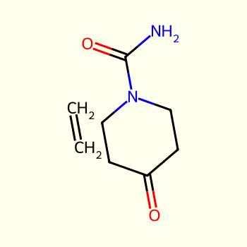 C=C.NC(=O)N1CCC(=O)CC1